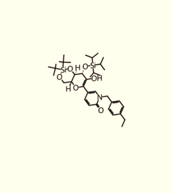 CCc1ccc(Cn2cc(C3=C(O)[C@@H](O[Si](C(C)C)(C(C)C)C(C)C)[C@@H]4O[Si](C(C)(C)C)(C(C)(C)C)OC[C@H]4O3)ccc2=O)cc1